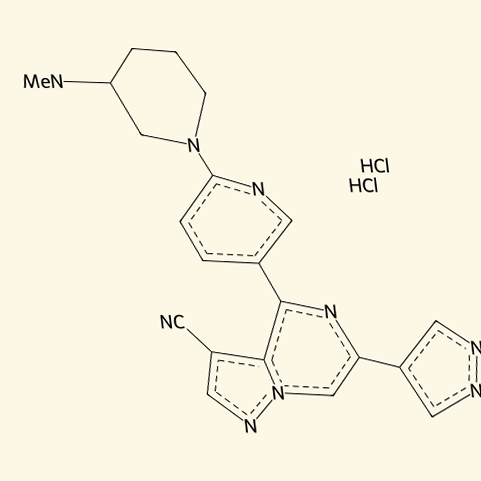 CNC1CCCN(c2ccc(-c3nc(-c4cnn(C)c4)cn4ncc(C#N)c34)cn2)C1.Cl.Cl